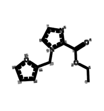 CCOC(=O)c1nccn1Cc1ccco1